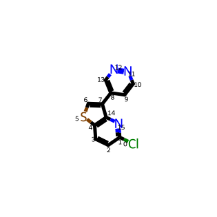 Clc1ccc2scc(-c3ccnnc3)c2n1